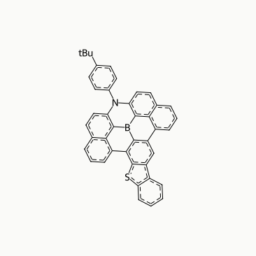 CC(C)(C)c1ccc(N2c3ccc4cccc5c4c3B3c4c-5cc5c(sc6ccccc65)c4-c4cccc5ccc2c3c45)cc1